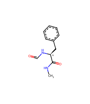 CNC(=O)[C@H](Cc1ccccc1)N[C]=O